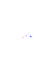 Cc1cccc(-c2nn(C3CCCCO3)cc2-c2ccc3ncc(NC(=O)OCc4ccccc4)cc3n2)n1